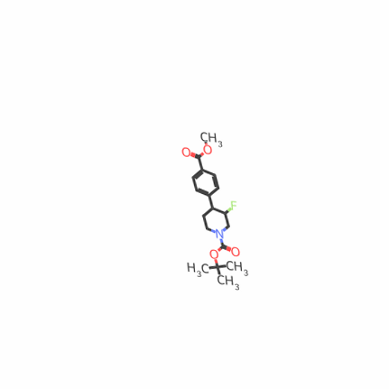 COC(=O)c1ccc(C2CCN(C(=O)OC(C)(C)C)CC2F)cc1